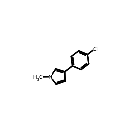 Cn1ccc(-c2ccc(Cl)cc2)c1